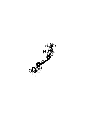 C[C@@H](OCc1ccc(CCCOCc2cccc3c2n(C)c(=O)n3C2CCC(=O)NC2=O)cc1)[C@@H](N)CCC(N)=O